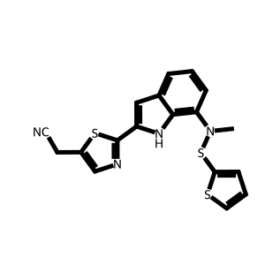 CN(Sc1cccs1)c1cccc2cc(-c3ncc(CC#N)s3)[nH]c12